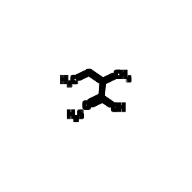 CCC(C)C(=O)O.S